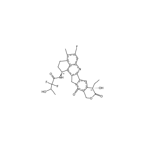 CC[C@@]1(O)C(=O)OCc2c1cc1n(c2=O)Cc2c-1nc1cc(F)c(C)c3c1c2[C@@H](NC(=O)C(F)(F)C(C)O)CC3